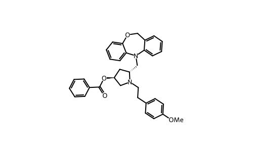 COc1ccc(CCN2C[C@@H](OC(=O)c3ccccc3)C[C@@H]2CN2c3ccccc3COc3ccccc32)cc1